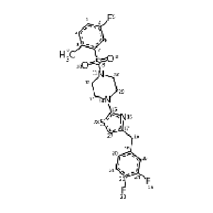 Cc1ccc(F)cc1S(=O)(=O)N1CCN(c2nc(Cc3ccc(F)c(F)c3)cs2)CC1